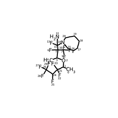 CC(OC(C)C(F)(C(F)(F)F)C(N)(F)N1CCCCCC1)C(F)(F)C(F)C(F)(F)F